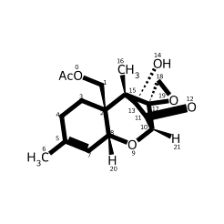 CC(=O)OC[C@]12CCC(C)=C[C@H]1O[C@@H]1C(=O)[C@@H](O)[C@@]2(C)[C@]12CO2